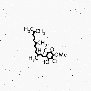 COC1=C(Cl)C(O)C(C/C=C(\C)CC/C=C(\C)CCC=C(C)C)C(C)C1=O